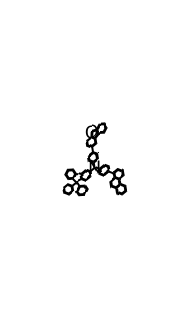 c1ccc(C2(c3ccccc3)c3ccccc3-c3cc(N(c4ccc(-c5ccc6oc7ccccc7c6c5)cc4)c4ccc(-c5cccc6c5ccc5ccccc56)cc4)ccc32)cc1